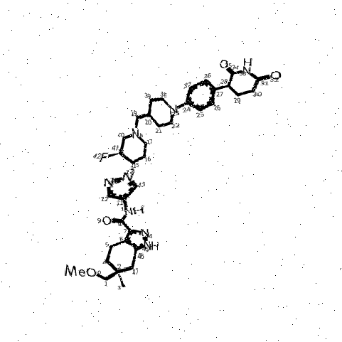 COC[C@]1(C)CCc2c(C(=O)Nc3cnn([C@H]4CCN(CC5CCN(c6ccc(C7CCC(=O)NC7=O)cc6)CC5)C[C@@H]4F)c3)n[nH]c2C1